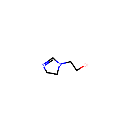 OCCN1[C]=NCC1